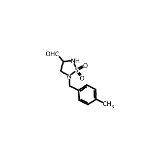 Cc1ccc(CN2CC(C=O)NS2(=O)=O)cc1